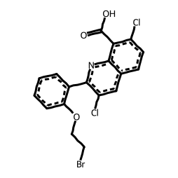 O=C(O)c1c(Cl)ccc2cc(Cl)c(-c3ccccc3OCCBr)nc12